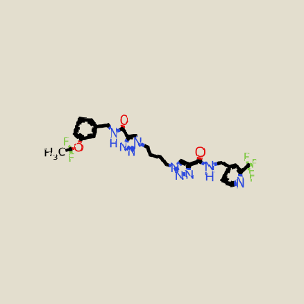 CC(F)(F)Oc1cccc(CNC(=O)c2cn(CCCCn3cc(C(=O)NCc4ccnc(C(F)(F)F)c4)nn3)nn2)c1